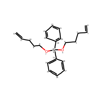 C=CCCCO[Si](OCCCC=C)(c1ccccc1)c1ccccc1